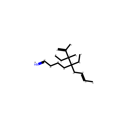 C=C(C)C(C)(CC)C(CC)(C/C=C/C)CCCC=N